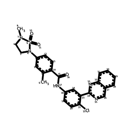 Cc1cc(N2CCN(C)S2(=O)=O)ccc1C(=O)Nc1ccc(Cl)c(-c2ncc3ccccc3n2)c1